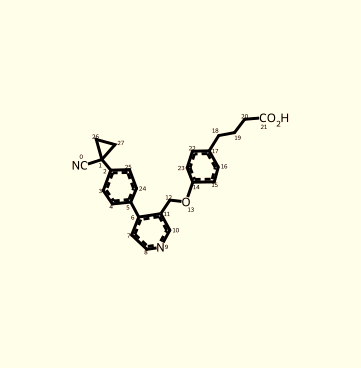 N#CC1(c2ccc(-c3ccncc3COc3ccc(CCCC(=O)O)cc3)cc2)CC1